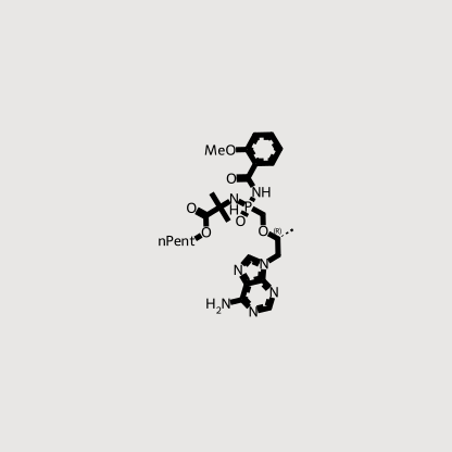 CCCCCOC(=O)C(C)(C)NP(=O)(CO[C@H](C)Cn1cnc2c(N)ncnc21)NC(=O)c1ccccc1OC